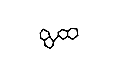 C1CCC2CC(C3CCCC4CCCCC43)CCC2C1